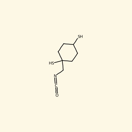 O=C=NCC1(S)CCC(S)CC1